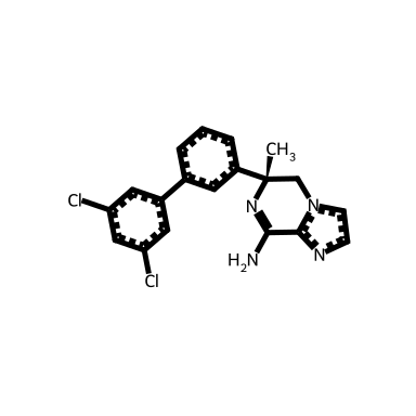 C[C@@]1(c2cccc(-c3cc(Cl)cc(Cl)c3)c2)Cn2ccnc2C(N)=N1